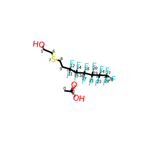 CC(=O)O.OCCSCCC(F)(F)C(F)(F)C(F)(F)C(F)(F)C(F)(F)C(F)(F)F